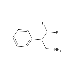 NCC(c1ccccc1)C(F)F